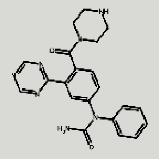 NC(=O)N(c1ccccc1)c1ccc(C(=O)N2CCNCC2)c(-c2ncncn2)c1